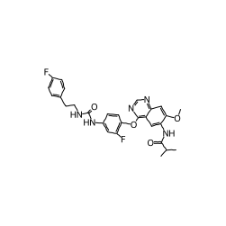 COc1cc2ncnc(Oc3ccc(NC(=O)NCCc4ccc(F)cc4)cc3F)c2cc1NC(=O)C(C)C